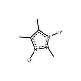 Cc1c(C)[n+]([O-])n(C)[n+]1[O-]